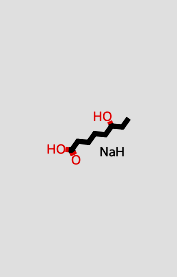 CCC(O)CCCCC(=O)O.[NaH]